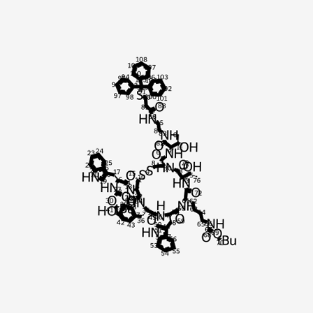 C[C@@H](O)[C@H](NC(=O)[C@@H]1CSSC[C@H](NC(=O)[C@@H](Cc2c[nH]c3ccccc23)NC(=O)OC(C)(C)C)C(=O)N[C@@H](Cc2ccc(O)cc2)C(=O)N[C@H](Cc2c[nH]c3ccccc23)C(=O)N[C@@H](CCCCNC(=O)OC(C)(C)C)C(=O)N[C@@H]([C@@H](C)O)C(=O)N1)C(=O)NCCNC(=O)CCSC(c1ccccc1)(c1ccccc1)c1ccccc1